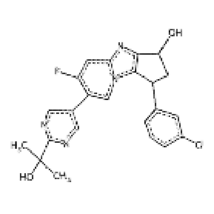 CC(C)(O)c1ncc(-c2cn3c4c(nc3cc2F)C(O)CC4c2cccc(Cl)c2)cn1